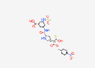 CS(=O)(=O)Nc1cc(NC(=O)C2C[C@@H]([C@@H](C(=O)OCc3ccc([N+](=O)[O-])cc3)C(O)=S)CN2)cc(C(=O)O)c1